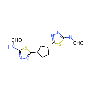 O=CNc1nnc([C@@H]2CC[C@@H](c3nnc(NC=O)s3)C2)s1